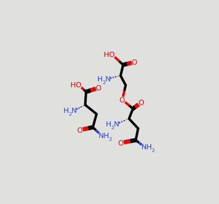 NC(=O)C[C@H](N)C(=O)O.NC(=O)C[C@H](N)C(=O)OC[C@H](N)C(=O)O